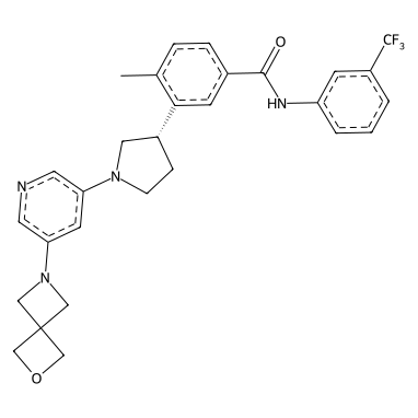 Cc1ccc(C(=O)Nc2cccc(C(F)(F)F)c2)cc1[C@@H]1CCN(c2cncc(N3CC4(COC4)C3)c2)C1